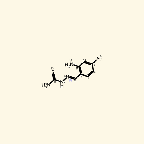 CC(=O)c1ccc(/C=N/NC(N)=S)c(N)c1